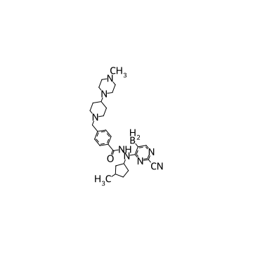 Bc1cnc(C#N)nc1N(NC(=O)c1ccc(CN2CCC(N3CCN(C)CC3)CC2)cc1)C1CCC(C)C1